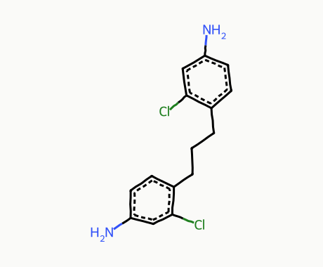 Nc1ccc(CCCc2ccc(N)cc2Cl)c(Cl)c1